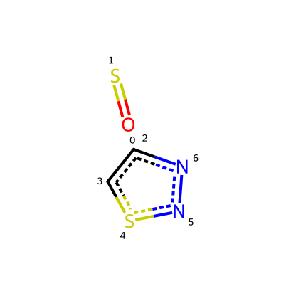 O=S.c1csnn1